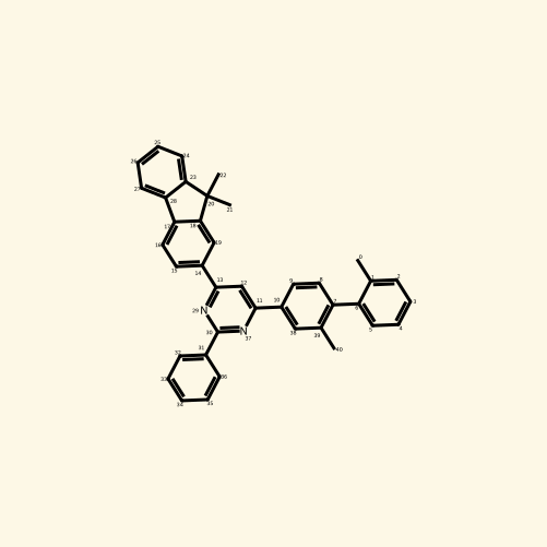 Cc1ccccc1-c1ccc(-c2cc(-c3ccc4c(c3)C(C)(C)c3ccccc3-4)nc(-c3ccccc3)n2)cc1C